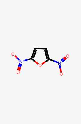 O=[N+]([O-])c1ccc([N+](=O)[O-])o1